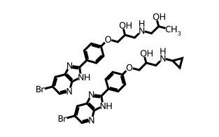 CC(O)CNCC(O)COc1ccc(-c2nc3cc(Br)cnc3[nH]2)cc1.OC(CNC1CC1)COc1ccc(-c2nc3cc(Br)cnc3[nH]2)cc1